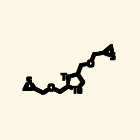 C(OCC1C[Te]C(COCC2CS2)[Te]1)C1CS1